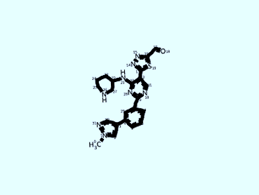 Cn1cc(-c2cccc(-c3ncc(-c4nnc(C=O)s4)c(NC4CCCNC4)n3)c2)cn1